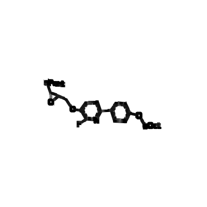 CCCCCCCCOc1ccc(-c2ccc(OCC3OC3CCCCC)c(F)n2)cc1